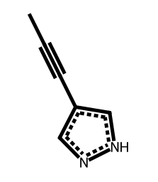 CC#Cc1cn[nH]c1